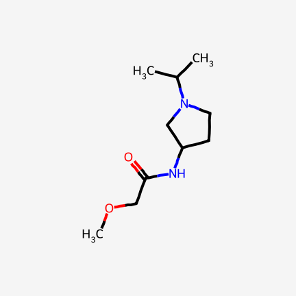 COCC(=O)NC1CCN(C(C)C)C1